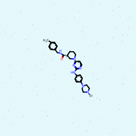 CCN1CCN(c2ccc(Nc3nccc(N4CCC[C@H](C(=O)NCc5ccc(C)cc5)C4)n3)cc2)CC1